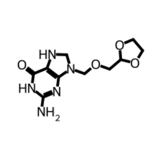 Nc1nc2c(c(=O)[nH]1)NCN2COCC1OCCO1